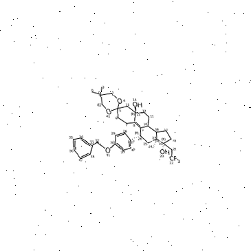 CC1(C)COC2(CCC3=C4C(CC[C@@]3(O)C2)C2CC[C@@](O)(CC(F)(F)F)[C@@]2(C)C[C@@H]4c2ccc(OCc3ccccc3)cc2)OC1